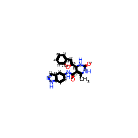 CC1=C(C(=O)Nc2ccc3[nH]ncc3c2)C(c2cc3ccccc3o2)NC(=O)N1